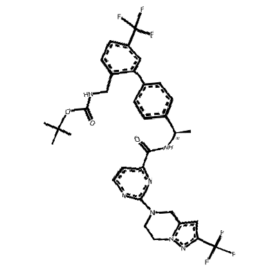 C[C@@H](NC(=O)c1ccnc(N2CCn3nc(C(F)(F)F)cc3C2)n1)c1ccc(-c2cc(C(F)(F)F)ccc2CNC(=O)OC(C)(C)C)cc1